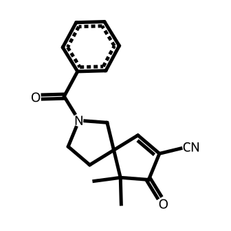 CC1(C)C(=O)C(C#N)=CC12CCN(C(=O)c1ccccc1)C2